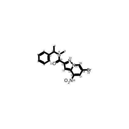 CC(c1ccccc1)N(C)C(=O)c1cc2c([N+](=O)[O-])cc(Br)cn2n1